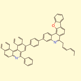 C=Cc1ccc2nc(-c3ccccc3)c3cc(-c4ccc(-c5ccc6c(c5)nc(C/C=C\C=C/C)c5ccc7c8ccccc8oc7c56)cc4)c(C=C)c(C=C)c3c2c1C=C